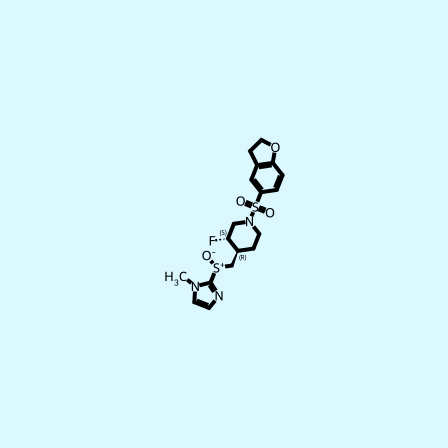 Cn1ccnc1[S+]([O-])C[C@@H]1CCN(S(=O)(=O)c2ccc3c(c2)CCO3)C[C@H]1F